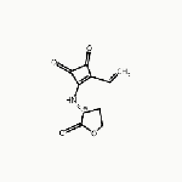 C=Cc1c(N[C@@H]2CCOC2=O)c(=O)c1=O